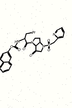 CC(C)CC(NC(=O)Oc1ccc2ccccc2c1)C(=O)N1CCC2C1C(=O)CN2S(=O)(=O)Cc1ccccn1